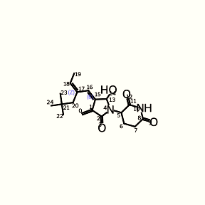 C=C1C(=O)N(C2CCC(=O)NC2=O)C(O)/C1=C/C(=C\C)CC(C)(C)C